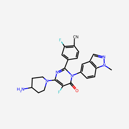 Cn1ncc2cc(-n3c(-c4ccc(C#N)c(F)c4)nc(N4CCC(N)CC4)c(F)c3=O)ccc21